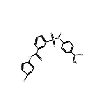 CC(O)c1ccc(N(C)S(=O)(=O)c2cccc(C(=O)Nc3ccc(Cl)cc3)c2)cc1